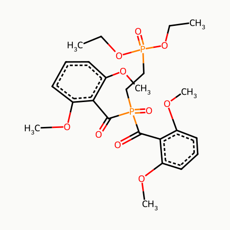 CCOP(=O)(CCP(=O)(C(=O)c1c(OC)cccc1OC)C(=O)c1c(OC)cccc1OC)OCC